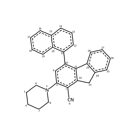 N#Cc1c(N2CCCCC2)cc(-c2cccc3ccccc23)c2c1Cc1ccccc1-2